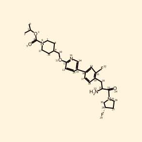 CC(C)OC(=O)N1CCC(COc2ccc(-c3ccc(CC(N)C(=O)N4CC[C@H](F)C4)c(F)c3)cn2)CC1